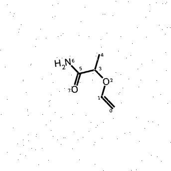 C=COC(C)C(N)=O